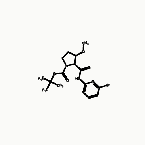 CO[C@@H]1CCN(C(=O)OC(C)(C)C)[C@@H]1C(=O)Nc1cccc(Br)n1